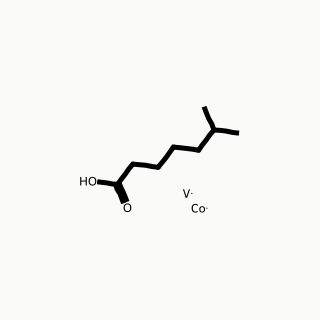 CC(C)CCCCC(=O)O.[Co].[V]